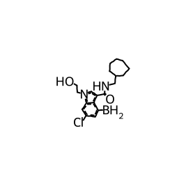 Bc1cc(Cl)cc2c1c(C(=O)NCC1CCCCCC1)cn2CCO